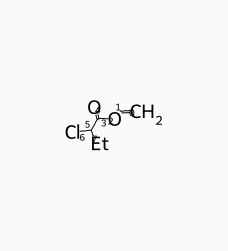 C=COC(=O)C(Cl)CC